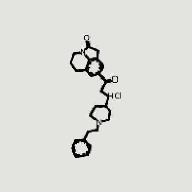 Cl.O=C(CCC1CCN(CCc2ccccc2)CC1)c1cc2c3c(c1)CC(=O)N3CCC2